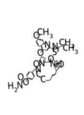 COc1ccc2c(OC3CC4C(=O)NC5([C]=O)CC5/C=C/CCCCCN(Cc5ccc(OC(N)=O)cc5)C(=O)N4C3)cc(-c3nc(C(C)C)cs3)nc2c1